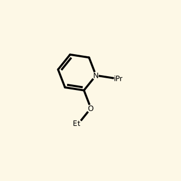 CCOC1=CC=CCN1C(C)C